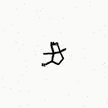 CCC1CCC(C)(NC)C1(C)C